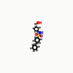 O=S(=O)(N[C@H]1CC[C@H](CO)C1)c1ccc(-c2ccccc2)cc1